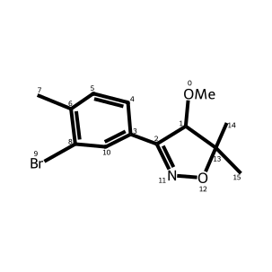 COC1C(c2ccc(C)c(Br)c2)=NOC1(C)C